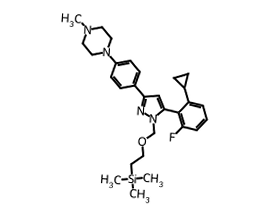 CN1CCN(c2ccc(-c3cc(-c4c(F)cccc4C4CC4)n(COCC[Si](C)(C)C)n3)cc2)CC1